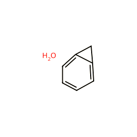 O.c1ccc2c(c1)C2